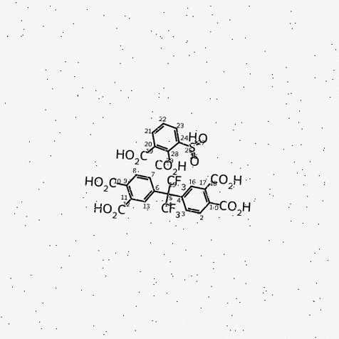 O=C(O)c1ccc(C(c2ccc(C(=O)O)c(C(=O)O)c2)(C(F)(F)F)C(F)(F)F)cc1C(=O)O.O=C(O)c1cccc([SH](=O)=O)c1C(=O)O